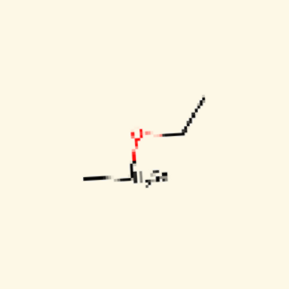 CCOCC.[SeH2]